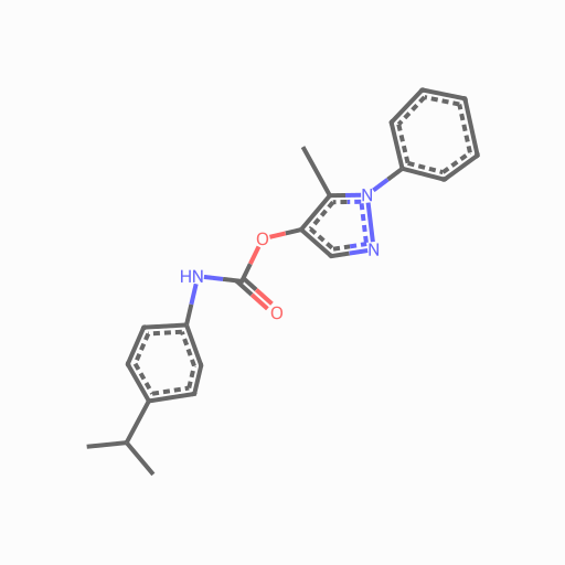 Cc1c(OC(=O)Nc2ccc(C(C)C)cc2)cnn1-c1ccccc1